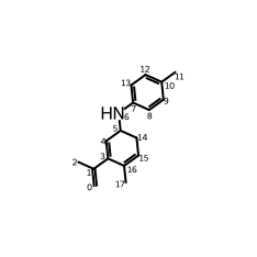 C=C(C)C1=CC(Nc2ccc(C)cc2)CC=C1C